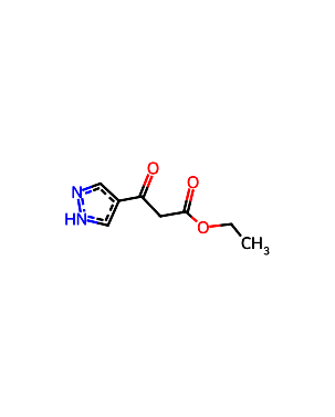 CCOC(=O)CC(=O)c1cn[nH]c1